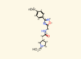 CCCCCCCCCCc1ccc(-c2noc(CNC(=O)C[C@@H]3CCN(C(=O)O)C3)n2)cc1